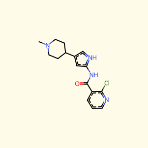 CN1CCC(c2c[nH]c(NC(=O)c3cccnc3Cl)c2)CC1